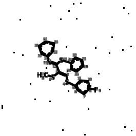 CSC(=C\Sc1ccc(F)cc1)/C(=N/c1ccccc1)Sc1ccccc1